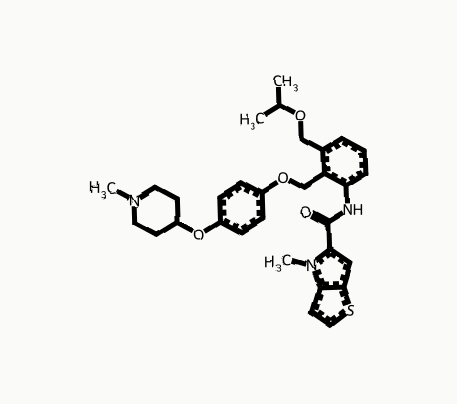 CC(C)OCc1cccc(NC(=O)c2cc3sccc3n2C)c1COc1ccc(OC2CCN(C)CC2)cc1